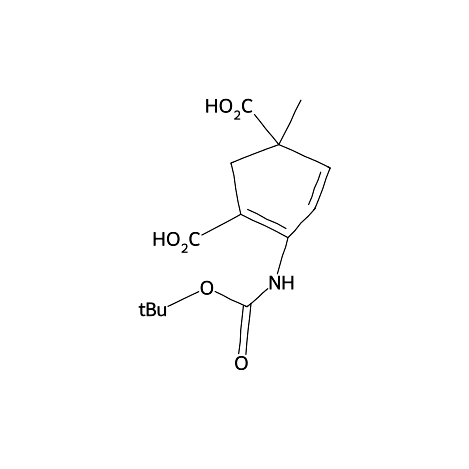 CC(C)(C)OC(=O)NC1=C(C(=O)O)CC(C)(C(=O)O)C=C1